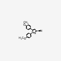 COc1ccc(-c2cc(C#N)nn2-c2ccc(OC)cc2)cc1